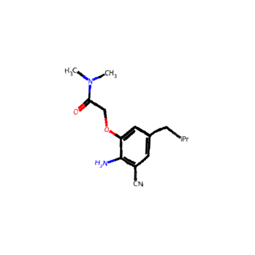 CC(C)Cc1cc(C#N)c(N)c(OCC(=O)N(C)C)c1